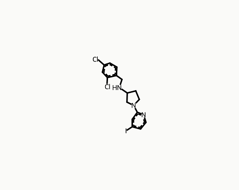 Clc1ccc(CNC2CCN(c3cc(I)ccn3)C2)c(Cl)c1